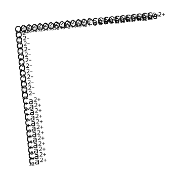 [Ca+2].[Ca+2].[Ca+2].[Ca+2].[Ca+2].[Ca+2].[Ca+2].[Ca+2].[Ca+2].[Ca+2].[Ca+2].[Ca+2].[Ca+2].[Ca+2].[Ca+2].[Ca+2].[Ca+2].[Ca+2].[Ca+2].[Ca+2].[Ca+2].[Ca+2].[Ca+2].[Ca+2].[O-2].[O-2].[O-2].[O-2].[O-2].[O-2].[O-2].[O-2].[O-2].[O-2].[O-2].[O-2].[O-2].[O-2].[O-2].[O-2].[O-2].[O-2].[O-2].[O-2].[O-2].[O-2].[O-2].[O-2].[O-2]